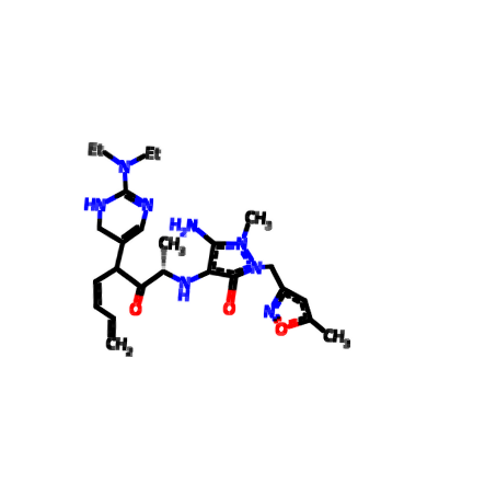 C=C/C=C\C(C(=O)[C@H](C)Nc1c(N)n(C)n(Cc2cc(C)on2)c1=O)C1=CN=C(N(CC)CC)NC1